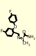 CN(N=Cc1ccc(F)cc1Oc1ccc(F)cc1)C(N)=O